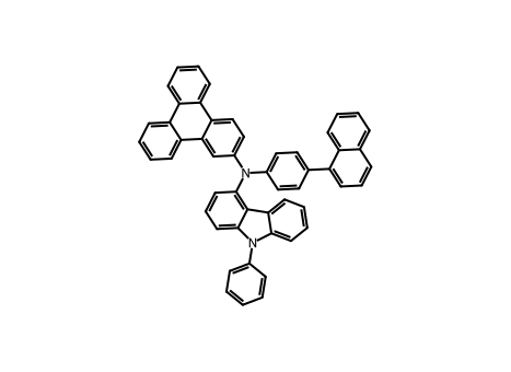 c1ccc(-n2c3ccccc3c3c(N(c4ccc(-c5cccc6ccccc56)cc4)c4ccc5c6ccccc6c6ccccc6c5c4)cccc32)cc1